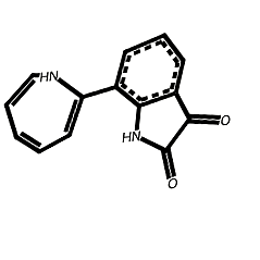 O=C1Nc2c(cccc2C2=CC=CC=CN2)C1=O